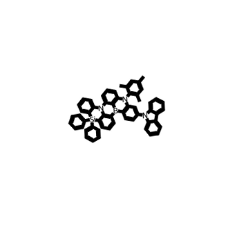 Cc1cc(C)c(N2c3cc(-n4c5ccccc5c5ccccc54)ccc3B3c4cccc5c4N(c4ccccc4[Si]5(c4ccccc4)c4ccccc4)c4cccc2c43)c(C)c1